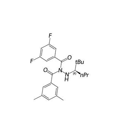 CCC[C@@H](NN(C(=O)c1cc(C)cc(C)c1)C(=O)c1cc(F)cc(F)c1)C(C)(C)C